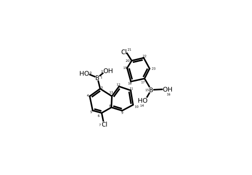 OB(O)c1ccc(Cl)c2ccccc12.OB(O)c1ccc(Cl)cc1